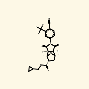 C[C@]12O[C@](C)(C[C@@H]1C(=O)OCC1CC1)[C@@H]1C(=O)N(c3ccc(C#N)c(C(F)(F)F)c3)C(=O)[C@@H]12